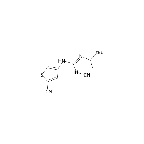 CC(/N=C(\NC#N)Nc1csc(C#N)c1)C(C)(C)C